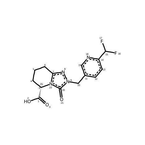 O=C(O)[C@@H]1CCCc2nn(Cc3ccc(C(F)F)nc3)c(=O)n21